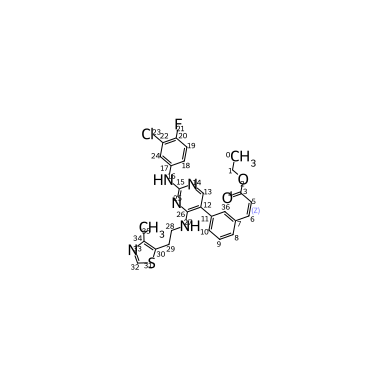 CCOC(=O)/C=C\c1cccc(-c2cnc(Nc3ccc(F)c(Cl)c3)nc2NCCc2scnc2C)c1